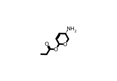 CCC(=O)OC1C=C[C@H](N)CO1